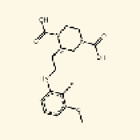 COc1cccc(NCC[C@@H]2CN(C(=O)O)CCN2C(=O)O)c1F